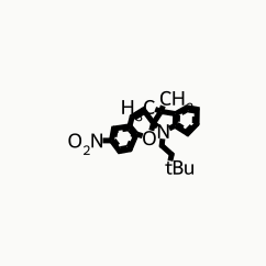 CC(C)(C)CCN1c2ccccc2C(C)(C)C12C=Cc1cc([N+](=O)[O-])ccc1O2